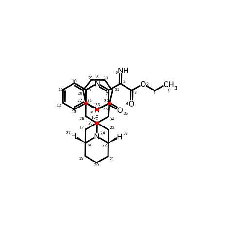 CCOC(=O)C(=N)c1nc2ccccc2n([C@H]2C[C@H]3CCC[C@@H](C2)N3C2CC3CCCCC(C3)C2)c1=O